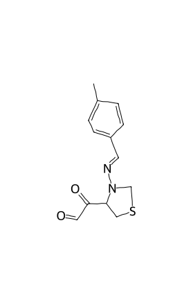 Cc1ccc(C=NN2CSCC2C(=O)C=O)cc1